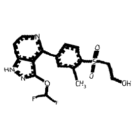 Cc1cc(-c2nccc3[nH]nc(OC(F)F)c23)ccc1S(=O)(=O)CCO